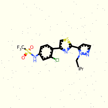 CC(C)Cn1nccc1-c1nc(-c2ccc(NS(=O)(=O)C(F)(F)F)cc2Cl)cs1